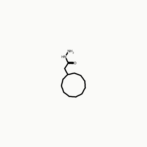 NNC(=O)CC1CCCCCCCCCC1